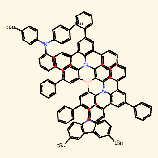 CC(C)(C)c1ccc(N(c2ccc(C(C)(C)C)cc2)c2cccc(-c3cc4c(cc3-c3ccccc3)B3c5cc(-c6ccccc6)c(-n6c7ccc(C(C)(C)C)cc7c7cc(C(C)(C)C)ccc76)cc5N(c5c(-c6ccccc6)cc(-c6ccccc6)cc5-c5ccccc5)c5cccc(c53)N4c3c(-c4ccccc4)cc(-c4ccccc4)cc3-c3ccccc3)c2)cc1